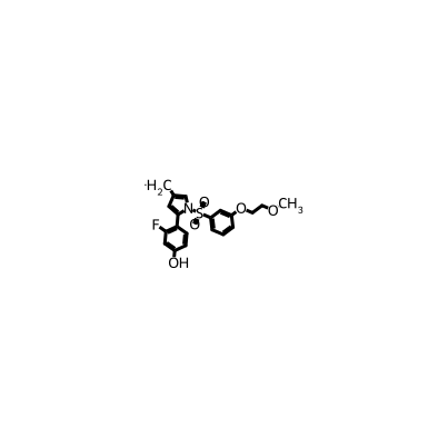 [CH2]c1cc(-c2ccc(O)cc2F)n(S(=O)(=O)c2cccc(OCCOC)c2)c1